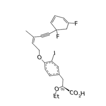 CCO[C@@H](Cc1ccc(OCC=C(C)C#CC2(F)C=CC=C(F)C2)c(I)c1)C(=O)O